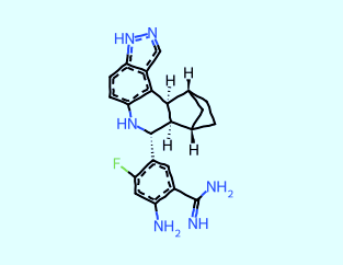 N=C(N)c1cc([C@@H]2Nc3ccc4[nH]ncc4c3[C@H]3[C@@H]4CC[C@@H](C4)[C@H]32)c(F)cc1N